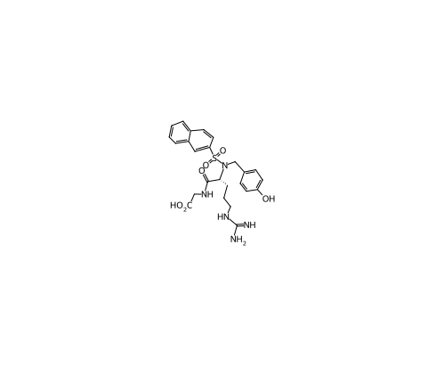 N=C(N)NCCC[C@H](C(=O)NCC(=O)O)N(Cc1ccc(O)cc1)S(=O)(=O)c1ccc2ccccc2c1